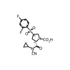 N#CN(C(=O)[C@@H]1C[C@@H](S(=O)(=O)c2ccc(F)cc2F)CN1C(=O)O)C1CC1